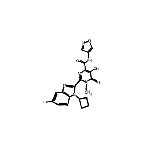 Cn1c(-c2nc3cc(F)ccc3n2C2CCC2)nc(C(=O)Nc2cnoc2)c(O)c1=O